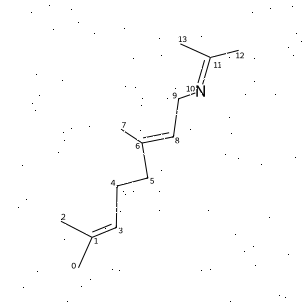 CC(C)=CCC/C(C)=C/CN=C(C)C